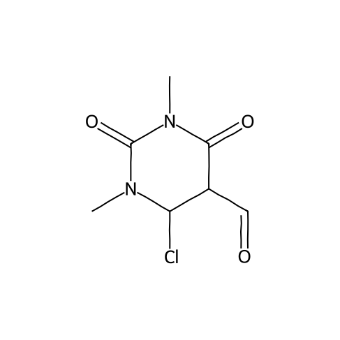 CN1C(=O)C(C=O)C(Cl)N(C)C1=O